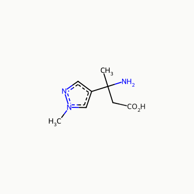 Cn1cc(C(C)(N)CC(=O)O)cn1